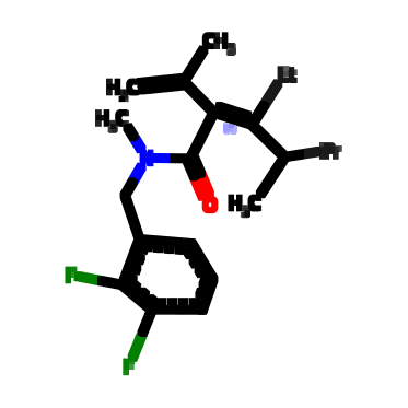 C=C(C)/C(C(=O)N(C)Cc1cccc(F)c1F)=C(\CC)C(C)C(C)C